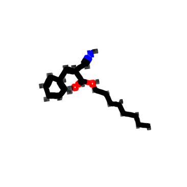 CCCCCCCCOC(=O)C(C#N)=Cc1ccccc1